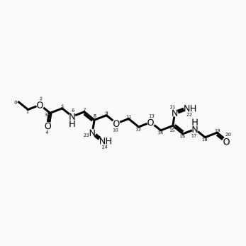 CCOC(=O)CN/C=C(/COCCOC/C(=C/NCC=O)N=N)N=N